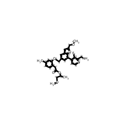 COCc1cc2cc(COc3cc(C)ccc3CC(=O)OC(C)COC)cc(-c3ccnc(CN)c3F)c2o1